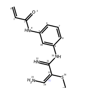 C=CC(=O)Nc1cccc(NC(=N)/C(=C\N)SC)c1